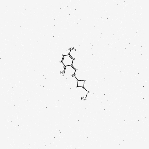 COC1CC(N/C=C2/C=C(C)C=CC2=N)C1